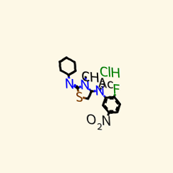 CC(=O)N(c1cc([N+](=O)[O-])ccc1F)C1CSC(=NC2CCCCC2)N1C.Cl